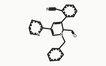 N#Cc1ccccc1C1=CC(c2ccccn2)=CN(Cc2ccccc2)C1C=O